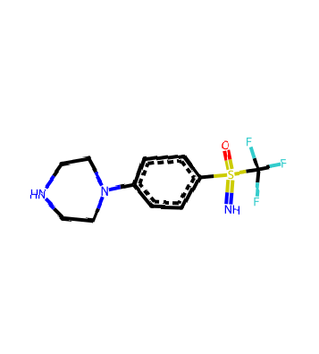 N=S(=O)(c1ccc(N2CCNCC2)cc1)C(F)(F)F